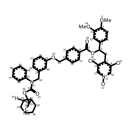 COc1ccc(C(Cc2c(Cl)c[n+]([O-])cc2Cl)OC(=O)c2ccc(COc3cccc(CN(C(=O)O[C@H]4CN5CCC4CC5)c4ccccc4)c3)cc2)cc1OC